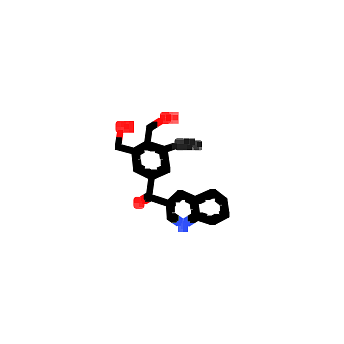 COc1cc(C(=O)c2cnc3ccccc3c2)cc(CO)c1CO